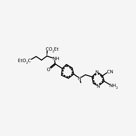 CCOC(=O)CC[C@H](NC(=O)c1ccc(N(C)Cc2cnc(N)c(C#N)n2)cc1)C(=O)OCC